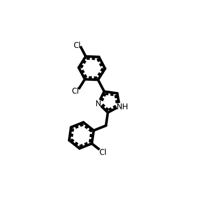 Clc1ccc(-c2c[nH]c(Cc3ccccc3Cl)n2)c(Cl)c1